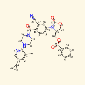 Cc1cc(C2CC2)cnc1N1CCN(C(=O)c2ccc(N3C(=O)OC[C@H]3COC(=O)c3ccccc3)cc2C#N)CC1